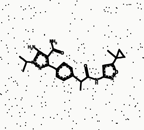 CC(C(=O)Nc1cc(C2(C)CC2)on1)c1ccc(-c2nn(C(C)C)c(N)c2C(N)=O)cc1